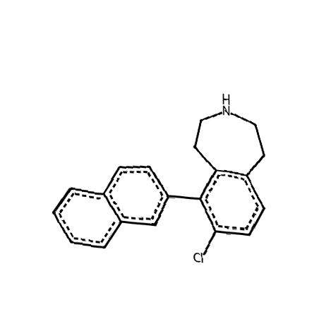 Clc1ccc2c(c1-c1ccc3ccccc3c1)CCNCC2